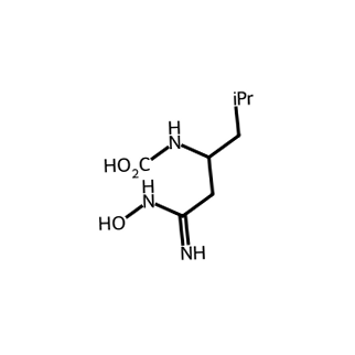 CC(C)CC(CC(=N)NO)NC(=O)O